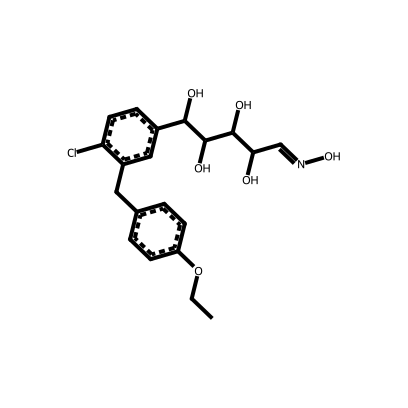 CCOc1ccc(Cc2cc(C(O)C(O)C(O)C(O)C=NO)ccc2Cl)cc1